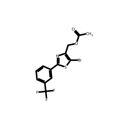 CC(=O)OCc1nc(-c2cccc(C(F)(F)F)c2)sc1Br